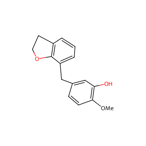 COc1ccc(Cc2cccc3c2OCC3)cc1O